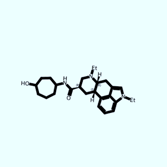 CCN1C[C@H](C(=O)NC2CCCC(O)CC2)C[C@H]2c3cccc4c3c(cn4CC)C[C@H]21